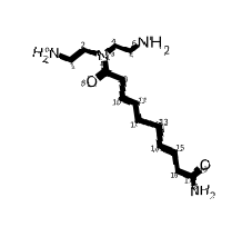 NCCN(CCN)C(=O)CCCCCCCCC(N)=O